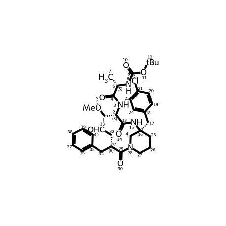 COC[C@H](NC(=O)[C@H](C)NC(=O)OC(C)(C)C)C(=O)N[C@@]1(Cc2ccc(Cl)cc2)CCCN(C(=O)[C@@H](CC=O)Cc2ccccc2)C1